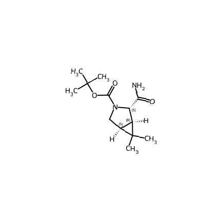 CC(C)(C)OC(=O)N1C[C@H]2[C@@H]([C@H]1C(N)=O)C2(C)C